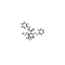 COC(CCc1ccccc1)C(C(C)=O)C(=O)OCc1ccccc1